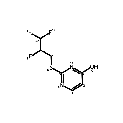 Oc1ccnc(SCC(F)C(F)F)n1